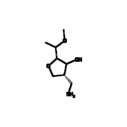 COC(C)C1OC[C@@H](CN)C1O